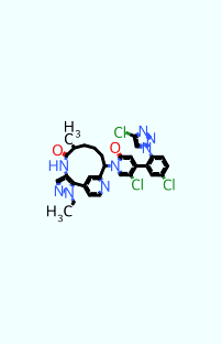 CCn1ncc2c1-c1ccnc(c1)C(n1cc(Cl)c(-c3cc(Cl)ccc3-n3cc(Cl)nn3)cc1=O)CCCC(C)C(=O)N2